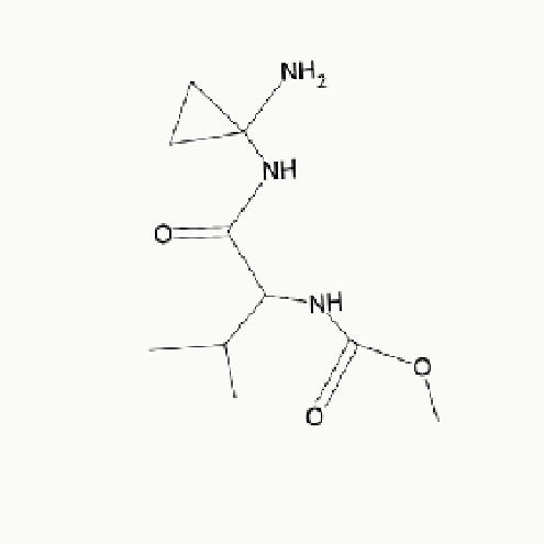 COC(=O)NC(C(=O)NC1(N)CC1)C(C)C